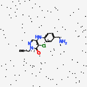 C#CCn1ncc(Nc2ccc(CN)cc2)c(Cl)c1=O